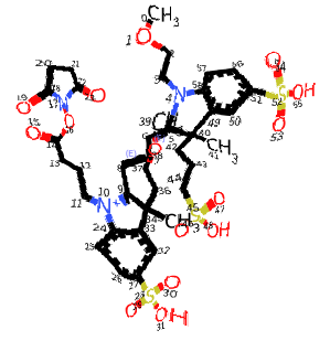 COCCN1/C(=C/C=C/C2=[N+](CCCC(=O)ON3C(=O)CCC3=O)c3ccc(S(=O)(=O)O)cc3C2(C)CCOC)C(C)(CCCS(=O)(=O)O)c2cc(S(=O)(=O)O)ccc21